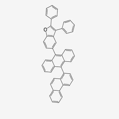 c1ccc(-c2oc3ccc(-c4c5ccccc5c(-c5cccc6c5ccc5ccccc56)c5ccccc45)cc3c2-c2ccccc2)cc1